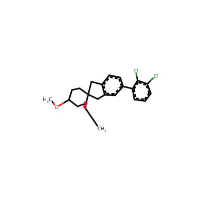 COC1CCC2(Cc3ccc(-c4cccc(Cl)c4Cl)cc3C2)C2(C1)N=CC(C)=N2